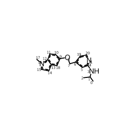 CC(C)Nc1cc(COc2ccc3c(ccn3C)c2)ccn1